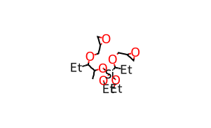 CCO[Si](OCC)(OC(C)C(CC)OCC1CO1)C(CC)OCC1CO1